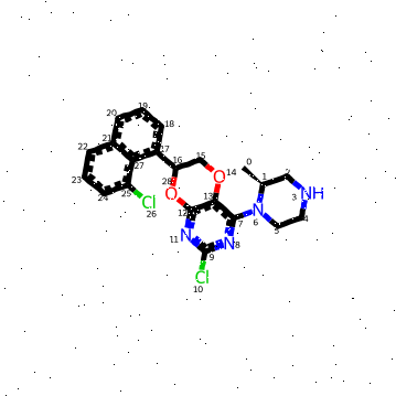 C[C@H]1CNCCN1c1nc(Cl)nc2c1OCC(c1cccc3cccc(Cl)c13)O2